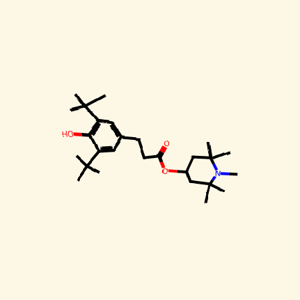 CN1C(C)(C)CC(OC(=O)CCc2cc(C(C)(C)C)c(O)c(C(C)(C)C)c2)CC1(C)C